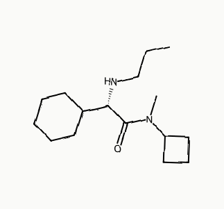 CCCN[C@H](C(=O)N(C)C1CCC1)C1CCCCC1